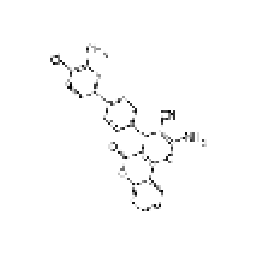 Cc1cc(-c2ccc(C3C(C#N)=C(N)Oc4c3c(=O)oc3ccccc43)cc2)cnc1Cl